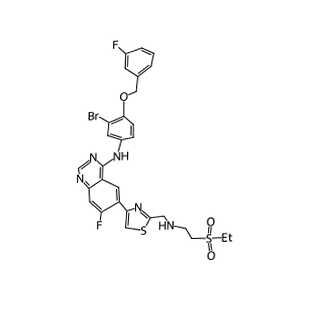 CCS(=O)(=O)CCNCc1nc(-c2cc3c(Nc4ccc(OCc5cccc(F)c5)c(Br)c4)ncnc3cc2F)cs1